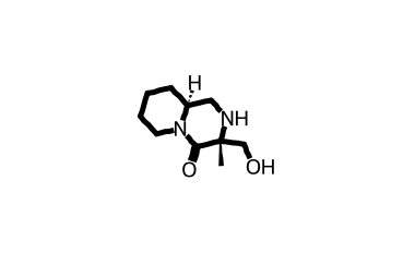 C[C@]1(CO)NC[C@@H]2CCCCN2C1=O